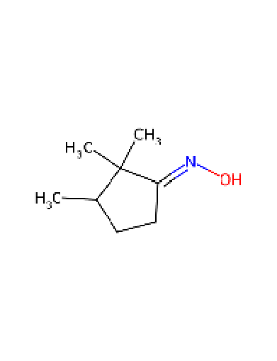 CC1CC/C(=N\O)C1(C)C